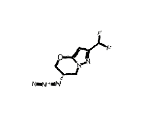 [N-]=[N+]=N[C@@H]1COc2cc(C(F)F)nn2C1